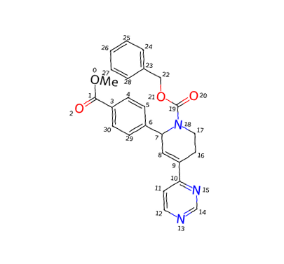 COC(=O)c1ccc(C2C=C(c3ccncn3)CCN2C(=O)OCc2ccccc2)cc1